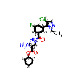 CCn1ncc(Cl)c1-c1cc(F)cc(C(=O)NC[C@@H](N)C(=O)OC2CCCCC2)c1